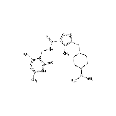 Cc1cc(C)c(CNC(=O)c2csc(C[C@H]3CC[C@H](N(C)C)CC3)c2C)c(=O)[nH]1